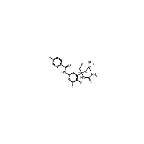 NC(=O)N[C@](CF)(c1cc(NC(=O)c2ccc(Cl)cn2)cc(F)c1F)[C@H]1C[C@H]1N